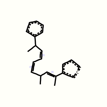 C/C(=C\C(C)/C=C\C=C/C(C)c1ccccc1)c1ccccc1